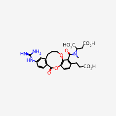 CN(C(=O)c1c(CCC(=O)O)ccc2c1OCCCc1cc(NC(=N)N)ccc1C(=O)O2)C(CC(=O)O)C(=O)O